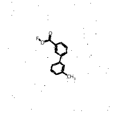 Cc1cccc(-c2cccc(C(=O)OF)c2)c1